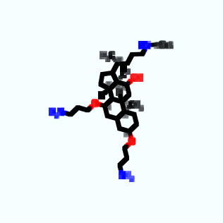 CCCCCCCCNCCC[C@@H](C)C1CC[C@H]2C3[C@H](OCCCN)CC4C[C@H](OCCCN)CC[C@]4(C)[C@H]3C[C@H](O)[C@]12C